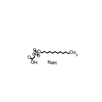 CCCCCCCCCCCCOS(=O)(=O)OCC(=O)O.[NaH]